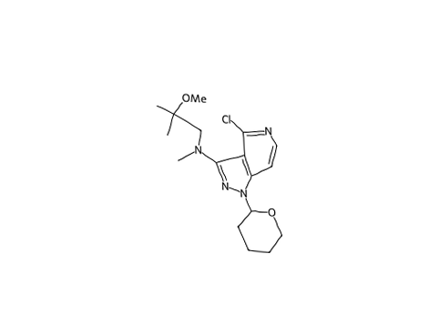 COC(C)(C)CN(C)c1nn(C2CCCCO2)c2ccnc(Cl)c12